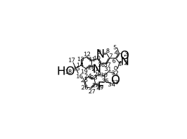 Cc1noc(C)c1-c1cnc2c3ccc(C(C)(C)O)cc3n(C(c3ccccc3F)C3CCOCC3)c2c1